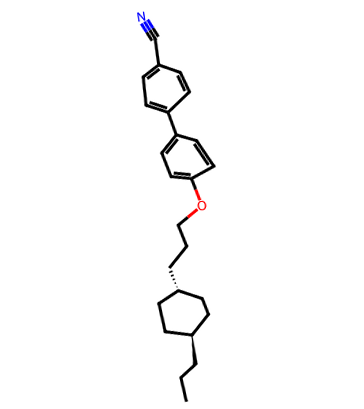 CCC[C@H]1CC[C@H](CCCOc2ccc(-c3ccc(C#N)cc3)cc2)CC1